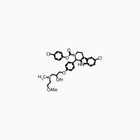 COCCN(C)CC(O)COc1ccc(C2c3[nH]c4ccc(Cl)cc4c3CCN2C(=O)Oc2ccc(Cl)cc2)cc1